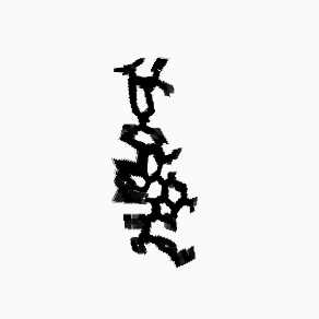 CN(C)C1CN(c2ncc3c4c(c(-c5ncc(F)c6sc(NC(=O)OC(C)(C)C)c(C#N)c56)c(F)c3n2)COC4)CC1C(F)F